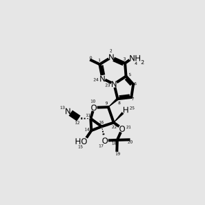 Cc1nc(N)c2ccc([C@@H]3O[C@]4(C#N)C(O)[C@@]45OC(C)(C)O[C@@H]35)n2n1